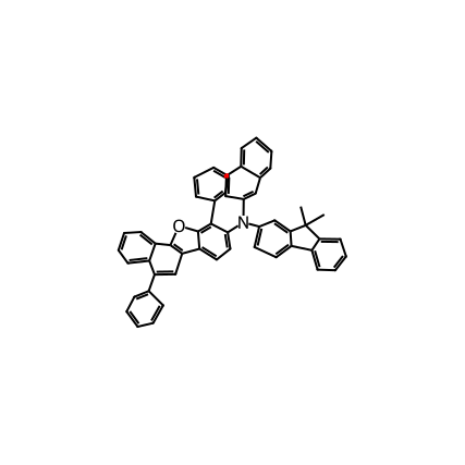 CC1(C)c2ccccc2-c2ccc(N(c3ccc4ccccc4c3)c3ccc4c(oc5c6ccccc6c(-c6ccccc6)cc45)c3-c3ccccc3)cc21